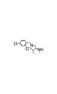 CNC1CN(Cc2ccc(Cl)cc2Cl)CC1C